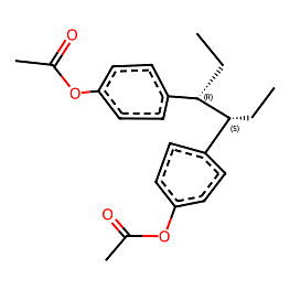 CC[C@H](c1ccc(OC(C)=O)cc1)[C@@H](CC)c1ccc(OC(C)=O)cc1